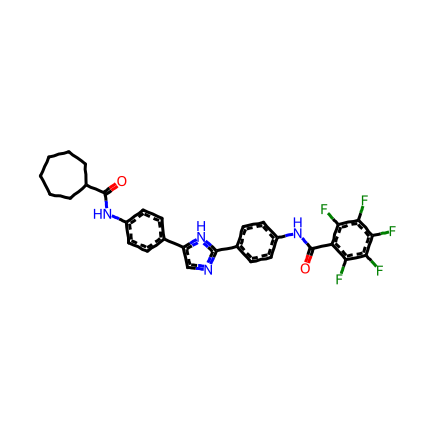 O=C(Nc1ccc(-c2ncc(-c3ccc(NC(=O)C4CCCCCC4)cc3)[nH]2)cc1)c1c(F)c(F)c(F)c(F)c1F